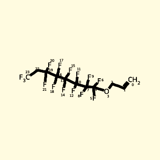 C=CCOC(F)(F)C(F)(F)C(F)(F)C(F)(F)C(F)(F)C(F)(F)CC(F)(F)F